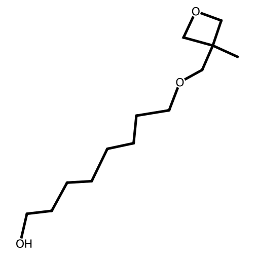 CC1(COCCCCCCCCO)COC1